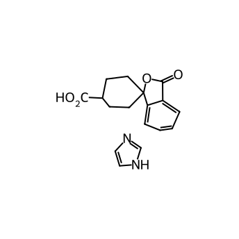 O=C1OC2(CCC(C(=O)O)CC2)c2ccccc21.c1c[nH]cn1